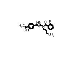 C=C(O)c1ccc(-c2nnc(N(CCCC)C(=O)c3ccccc3F)s2)cc1